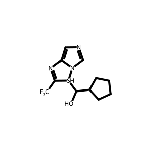 OC(C1CCCC1)[SH]1C(C(F)(F)F)=Nc2cncn21